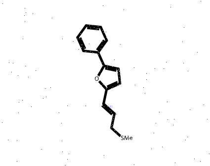 CSC/C=C/c1ccc(-c2ccccc2)o1